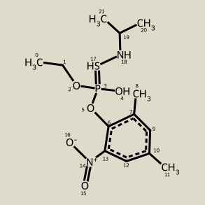 CCOP(O)(Oc1c(C)cc(C)cc1[N+](=O)[O-])=[SH]NC(C)C